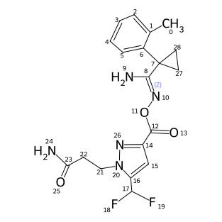 Cc1ccccc1C1(/C(N)=N/OC(=O)c2cc(C(F)F)n(CCC(N)=O)n2)CC1